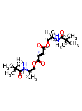 C[C@H](COC(=O)/C=C/C(=O)OC[C@@H](C)NC(=O)C(C)(C)C)NC(=O)C(C)(C)C